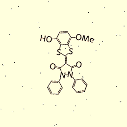 COc1ccc(O)c2c1SC(=C1C(=O)N(c3ccccc3)N(c3ccccc3)C1=O)S2